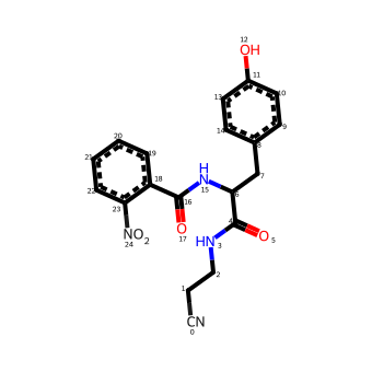 N#CCCNC(=O)C(Cc1ccc(O)cc1)NC(=O)c1ccccc1[N+](=O)[O-]